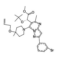 C=CCOC1(C)CCN(c2c([C@H](OC(C)(C)C)C(=O)OC)c(C)nc3cc(-c4cccc(Br)c4)nn23)CC1